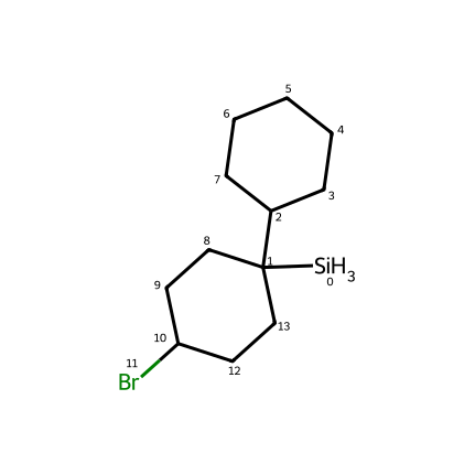 [SiH3]C1(C2CCCCC2)CCC(Br)CC1